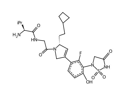 CC(C)[C@H](N)C(=O)NCC(=O)N1CC(c2ccc(O)c(N3CC(=O)NS3(=O)=O)c2F)=C[C@H]1CCC1CCC1